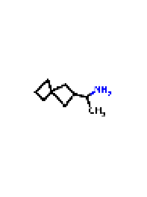 CC(N)C1CC2(CCC2)C1